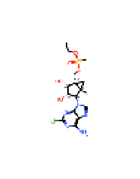 CCOP(C)(=O)OC[C@]12C[C@@H]1[C@@H](n1cnc3c(N)nc(Cl)nc31)[C@H](O)[C@@H]2O